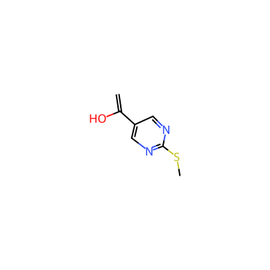 C=C(O)c1cnc(SC)nc1